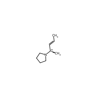 CC=C[C@@H](C)N1CCCC1